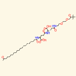 CC(=O)CCCCCCCCCCCCCCCCCCC(=O)N[C@@H](CCC(=O)N[C@@H](CCC(=O)NCCOCCOCC(=O)C(C)(C)C)C(=O)O)C(=O)O